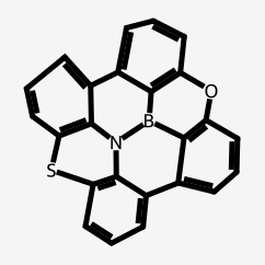 c1cc2c3c(c1)-c1cccc4c1N1B3c3c(cccc3-c3cccc(c31)S4)O2